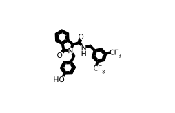 O=C(NCc1cc(C(F)(F)F)cc(C(F)(F)F)c1)C1c2ccccc2C(=O)N1Cc1ccc(O)cc1